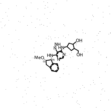 CO[C@H]1Cc2ccccc2[C@H]1Nc1ncnc(NC2CC(O)C(CO)C2)c1N=N